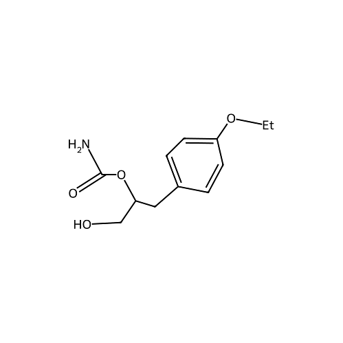 CCOc1ccc(CC(CO)OC(N)=O)cc1